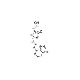 NC1C(O)CCCC1CCC[C@@H]1CN(CCO)C(=O)O1